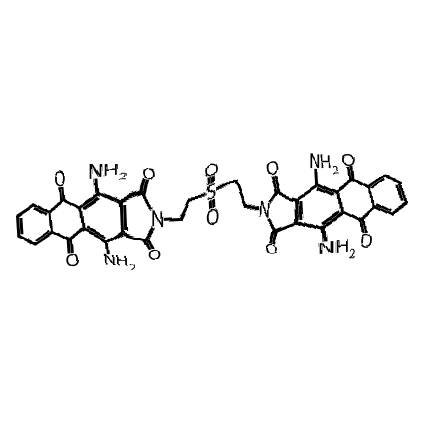 Nc1c2c(=O)c3ccccc3c(=O)c2c(N)c2c(=O)n(CCS(=O)(=O)CCn3c(=O)c4c(N)c5c(=O)c6ccccc6c(=O)c5c(N)c4c3=O)c(=O)c12